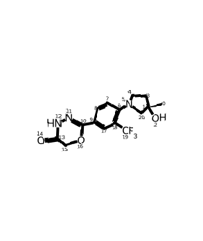 C[C@]1(O)CCN(c2ccc(C3=NNC(=O)CO3)cc2C(F)(F)F)C1